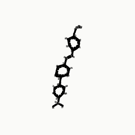 CCCCc1ccc(N=Nc2ccc(-c3ccc(N(C)C)cc3)cc2)cc1